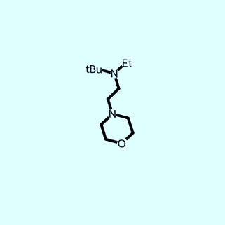 CCN(CCN1CCOCC1)C(C)(C)C